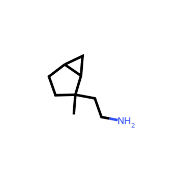 CC1(CCN)CCC2CC21